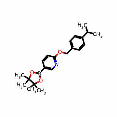 CC(C)c1ccc(COc2ccc(B3OC(C)(C)C(C)(C)O3)cn2)cc1